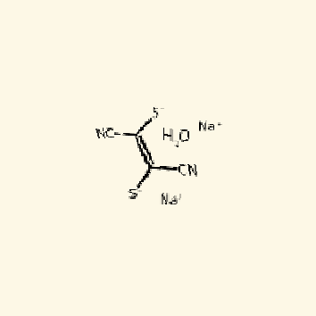 N#CC([S-])=C([S-])C#N.O.[Na+].[Na+]